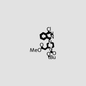 COC(=O)CC1CN(c2nnc(Cl)c3ccccc23)CCN1C(=O)OC(C)(C)C